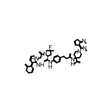 C=N/C(=C1/C=CC/C1=N/C)N1CCC(NC(=C)CCc2ccc(NC(=C)[C@@H]3CC(C)(F)CN3C(=C)CNC(=N)C(/C=C\C)=C3\C=CCCC3=C)cc2)(C(=C)C)CC1